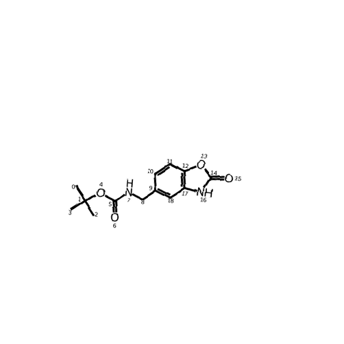 CC(C)(C)OC(=O)NCc1ccc2oc(=O)[nH]c2c1